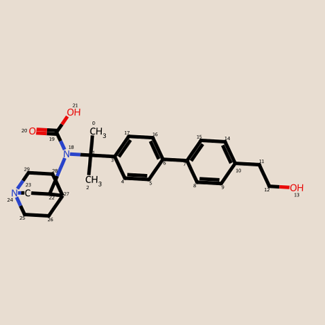 CC(C)(c1ccc(-c2ccc(CCO)cc2)cc1)N(C(=O)O)C1CN2CCC1CC2